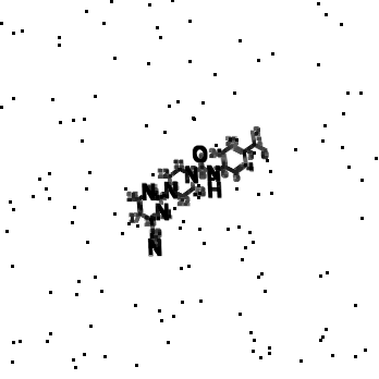 CC(C)c1ccc(NC(=O)N2CCN(c3nccc(C#N)n3)CC2)cc1